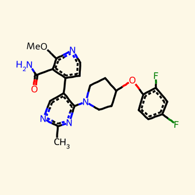 COc1nccc(-c2cnc(C)nc2N2CCC(Oc3ccc(F)cc3F)CC2)c1C(N)=O